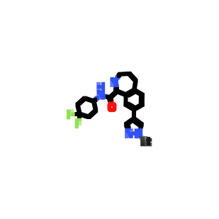 CCn1cc(-c2ccc3c(c2)C(C(=O)NC2CCC(F)(F)CC2)=NCCC3)cn1